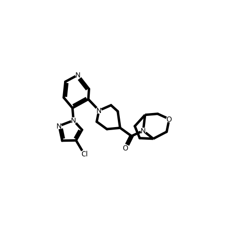 O=C(C1CCN(c2cnccc2-n2cc(Cl)cn2)CC1)N1C2CCC1COC2